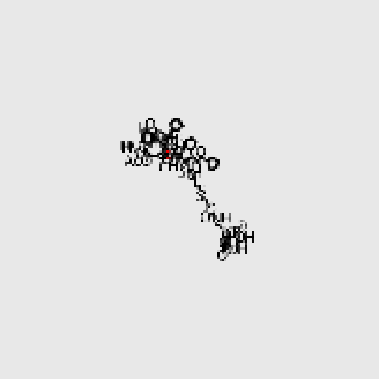 CC(=O)O[C@H]1C(=O)[C@@]2(C)[C@H]([C@H](OC(=O)c3ccccc3)[C@]3(O)C[C@H](OC(=O)[C@H](OC(=O)OCCSSCCOC(=O)NCCCC(O)(O[PH](=O)O)O[PH](=O)O)[C@@H](NC(=O)c4ccccc4)c4ccccc4)C(C)=C1C3(C)C)[C@]1(OC(C)=O)CO[C@@H]1C[C@@H]2O